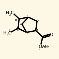 COC(=O)C1CC2CC1C(C)C2C